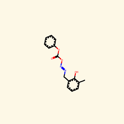 Cc1cccc(C/N=N/OC(=O)Oc2ccccc2)c1O